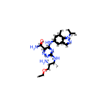 CCOC[C@H](N)[C@@H](C)Nc1nnc(C(N)=O)c(Nc2cc(C)c3c(cnn3C(C)C)c2)n1